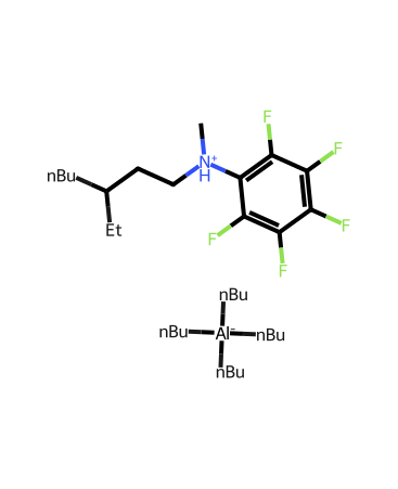 CCCCC(CC)CC[NH+](C)c1c(F)c(F)c(F)c(F)c1F.CCC[CH2][Al-]([CH2]CCC)([CH2]CCC)[CH2]CCC